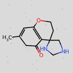 CC1=CC2=C(C(=O)C1)C1(CCO2)CNCN1